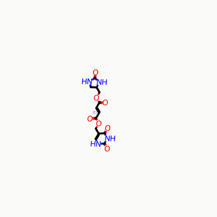 O=C1NCC(COC(=O)/C=C/C(=O)OCc2c[nH]c(=O)[nH]c2=O)N1